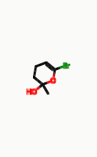 CC1(O)CCC=C(Br)O1